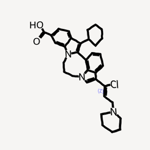 O=C(O)c1ccc2c(C3CCCCC3)c3n(c2c1)CCCn1cc(/C(Cl)=C/CN2CCCCC2)c2cccc-3c21